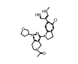 CN/C=C(\C=N)c1cc2c(cc1Cl)CCN2c1nn(C2CCOC2)c2c1CN(C(C)=O)CC2